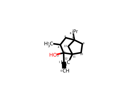 C#CC1(O)C(C)CC2(C(C)C)CCC1(C)C2